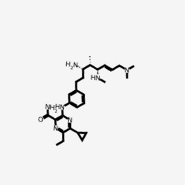 CCc1nc(C(N)=O)c(Nc2cccc(CC[C@H](N)[C@H](C)[C@H](/C=C/CN(C)C)NC)c2)nc1C1CC1